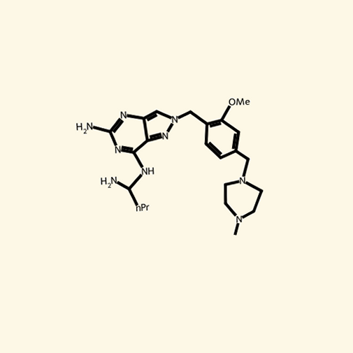 CCCC(N)Nc1nc(N)nc2cn(Cc3ccc(CN4CCN(C)CC4)cc3OC)nc12